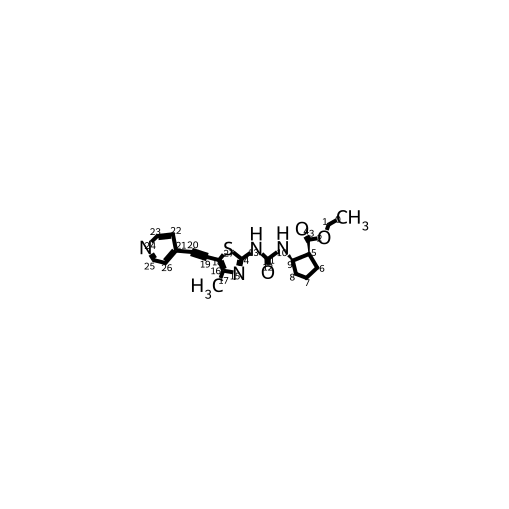 CCOC(=O)[C@H]1CCC[C@H]1NC(=O)Nc1nc(C)c(C#Cc2ccncc2)s1